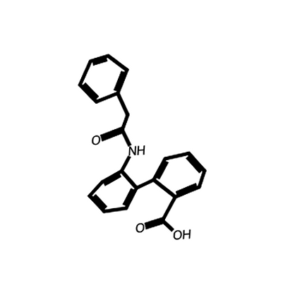 O=C(Cc1ccccc1)Nc1ccccc1-c1ccccc1C(=O)O